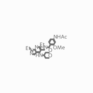 CCc1nc2c(cnn2CC)c(NC2CCOCC2)c1CNC(=O)c1ccc(NC(C)=O)cc1OC